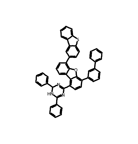 c1ccc(C2=NC(c3ccc(-c4cccc(-c5ccccc5)c4)c4oc5c(-c6ccc7sc8ccccc8c7c6)cccc5c34)=NC(c3ccccc3)N2)cc1